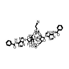 CC(C)(C)[Si](C)(C)O[C@@H]1C2COP(=O)(S)O[C@H]3[C@@H](F)[C@H](n4cnc5c(NC(=O)c6ccccc6)ncnc54)O[C@@H]3COP(=S)(OCCC#N)O[C@H]1[C@H](n1cnc3c(NC(=O)c4ccccc4)ncnc31)O2